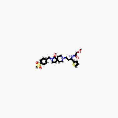 COCC(=O)NC(CCN1CCC2(CC1)CCN(Cc1ccc(S(C)(=O)=O)cc1)C2=O)c1cccs1